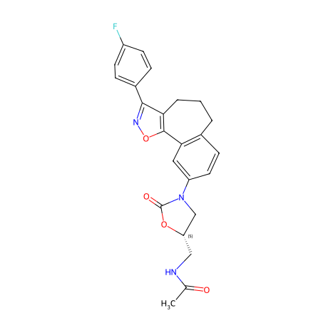 CC(=O)NC[C@H]1CN(c2ccc3c(c2)-c2onc(-c4ccc(F)cc4)c2CCC3)C(=O)O1